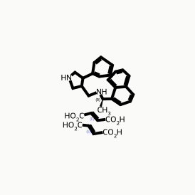 C[C@@H](NCC1CNCC1c1ccccc1)c1cccc2ccccc12.O=C(O)/C=C/C(=O)O.O=C(O)/C=C/C(=O)O